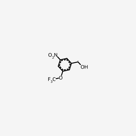 O=[N+]([O-])c1cc([CH]O)cc(OC(F)(F)F)c1